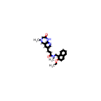 CCOc1ccc2ccccc2c1CN(C)C(=O)/C=C/c1cnc2c(c1)CN(C)CC(=O)N2